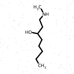 CCCCCC(O)CCNC